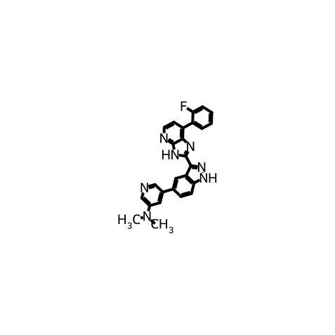 CN(C)c1cncc(-c2ccc3[nH]nc(-c4nc5c(-c6ccccc6F)ccnc5[nH]4)c3c2)c1